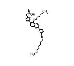 CCCCCCCCC#Cc1ccc(-c2ccc3c(OCCCCCC)c(-c4ccc(O[PH](=O)O)s4)ccc3c2)s1